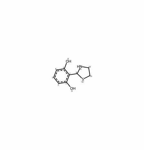 Oc1cccc(O)c1C1NCCS1